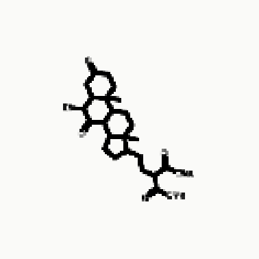 CC[C@@H]1C(=O)C2C3CCC(CCC(C(=O)OC)C(=O)OC)C3(C)CCC2C2(C)CCC(=O)CC12